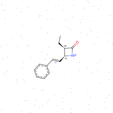 CC[C@H]1C(=O)N[C@H]1/C=C/c1ccccc1